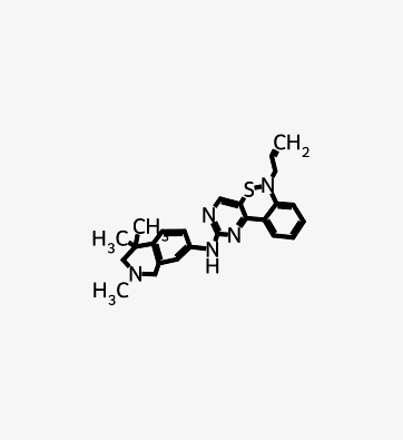 C=CCN1Sc2cnc(Nc3ccc4c(c3)CN(C)CC4(C)C)nc2-c2ccccc21